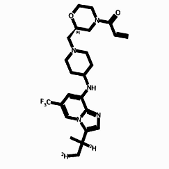 [2H]CC([2H])(C)c1cnc2c(NC3CCN(C[C@@H]4CN(C(=O)C=C)CCO4)CC3)cc(C(F)(F)F)cn12